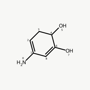 NC1=CCC(O)C(O)=C1